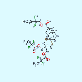 O=C(OCC(F)(F)S(=O)(=O)O)C12CC3CC(C1)C1(SCC(COC(=O)C(F)(F)C(F)(F)F)(COC(=O)C(F)(F)C(F)(F)F)CS1)C(C3)C2